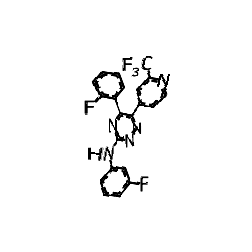 Fc1cccc(Nc2nnc(-c3ccnc(C(F)(F)F)c3)c(-c3ccccc3F)n2)c1